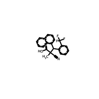 CC(C#N)(C(=O)O)C(c1ccccc1C(F)(F)F)c1cccc2ccccc12